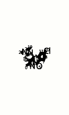 Cc1nn(C(=O)c2ccc(Cl)cc2)c(C)c1Sc1nccn1C